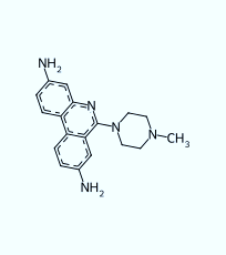 CN1CCN(c2nc3cc(N)ccc3c3ccc(N)cc23)CC1